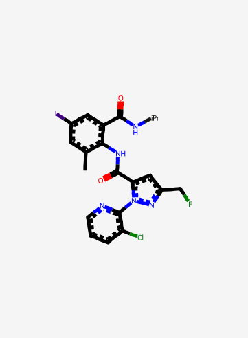 Cc1cc(I)cc(C(=O)NC(C)C)c1NC(=O)c1cc(CF)nn1-c1ncccc1Cl